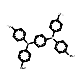 COc1ccc(N(c2ccc(C)cc2)c2ccc(N(c3ccc(C)cc3)c3ccc(OC)cc3)cc2)cc1